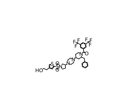 O=C(c1cc(C(F)(F)F)cc(C(F)(F)F)c1)N1CCC(N2CCN(C3CCN(S(=O)(=O)c4cc(CCO)cs4)C3)CC2)CC1Cc1ccccc1